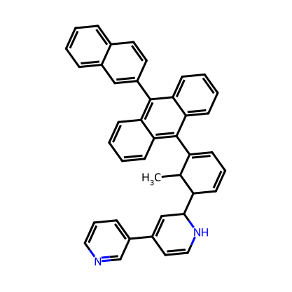 CC1C(c2c3ccccc3c(-c3ccc4ccccc4c3)c3ccccc23)=CC=CC1C1C=C(c2cccnc2)C=CN1